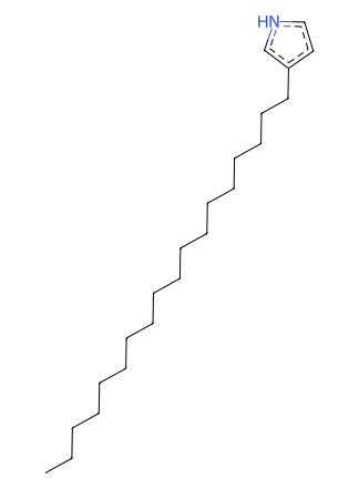 CCCCCCCCCCCCCCCCCCc1cc[nH]c1